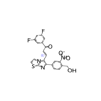 O=C(/C=C/c1c(-c2ccc(CO)c([N+](=O)[O-])c2)nc2sccn12)c1cc(F)cc(F)c1